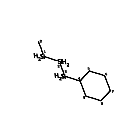 C[SiH2][SiH2][SiH2]C1CCCCC1